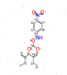 C=C(CC)C(OC(=O)ONc1ccc([N+](=O)[O-])cc1)C(=C)CC